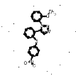 COc1ccccc1-n1nncc1-c1ccccc1Sc1ccc([N+](=O)[O-])cc1